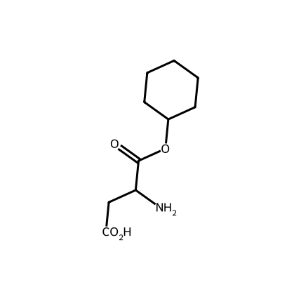 NC(CC(=O)O)C(=O)OC1CCCCC1